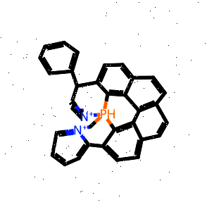 c1ccc(C2c3ccc4ccc5ccc6ccc7c8c6c5c4c3[PH]8(C[n+]3ccccc3-7)[n+]3ccccc32)cc1